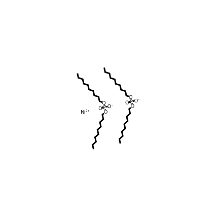 CCCCCCCCCCOP(=O)([O-])OCCCCCCCCCC.CCCCCCCCCCOP(=O)([O-])OCCCCCCCCCC.[Ni+2]